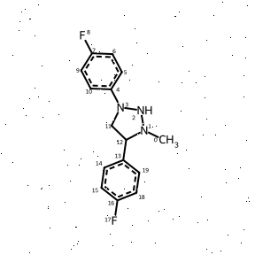 CN1NN(c2ccc(F)cc2)CC1c1ccc(F)cc1